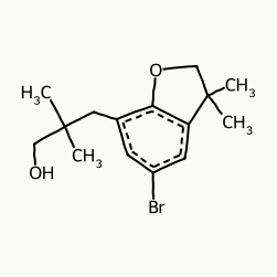 CC(C)(CO)Cc1cc(Br)cc2c1OCC2(C)C